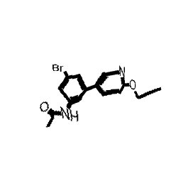 CCOc1ccc(-c2cc(Br)cc(NC(C)=O)c2)cn1